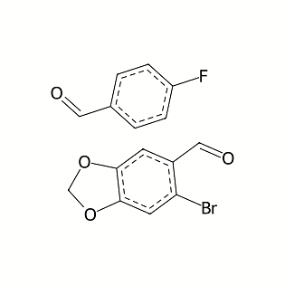 O=Cc1cc2c(cc1Br)OCO2.O=Cc1ccc(F)cc1